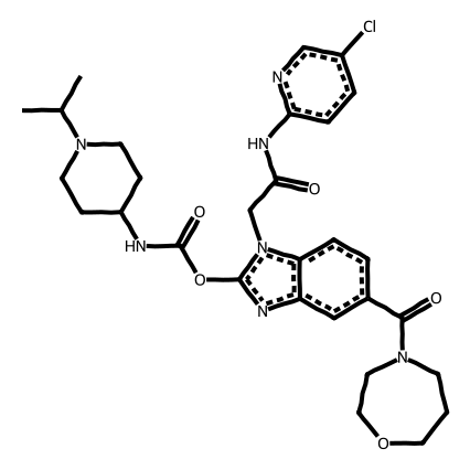 CC(C)N1CCC(NC(=O)Oc2nc3cc(C(=O)N4CCCOCC4)ccc3n2CC(=O)Nc2ccc(Cl)cn2)CC1